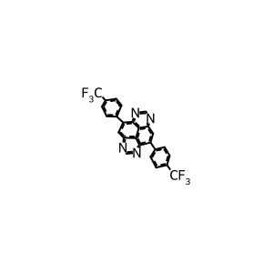 FC(F)(F)c1ccc(-c2cc3ncnc4c(-c5ccc(C(F)(F)F)cc5)cc5ncnc2c5c34)cc1